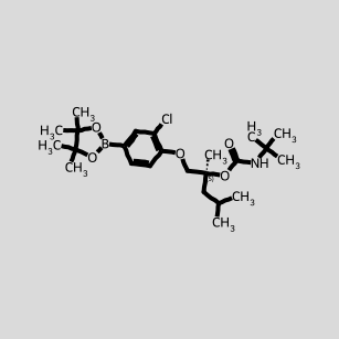 CC(C)C[C@@](C)(COc1ccc(B2OC(C)(C)C(C)(C)O2)cc1Cl)OC(=O)NC(C)(C)C